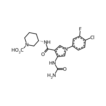 NC(=O)Nc1cn(-c2ccc(Cl)c(F)c2)cc1C(=O)N[C@H]1CCCN(C(=O)O)C1